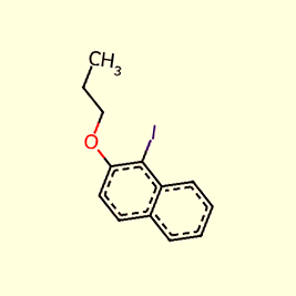 CCCOc1ccc2ccccc2c1I